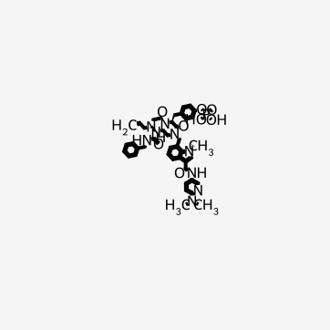 C=CCN1CC(=O)N2[C@@H](Cc3ccc(OP(=O)(O)O)cc3)C(=O)N(Cc3cccc4c(C(=O)Nc5ccc(N(C)C)nc5)cn(C)c34)C[C@@H]2N1C(=O)NCc1ccccc1